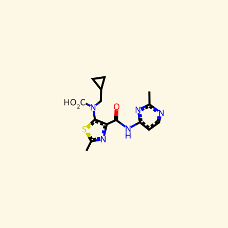 Cc1nccc(NC(=O)c2nc(C)sc2N(CC2CC2)C(=O)O)n1